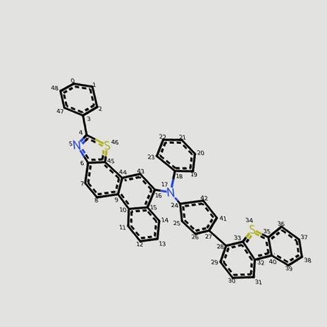 c1ccc(-c2nc3ccc4c5ccccc5c(N(c5ccccc5)c5ccc(-c6cccc7c6sc6ccccc67)cc5)cc4c3s2)cc1